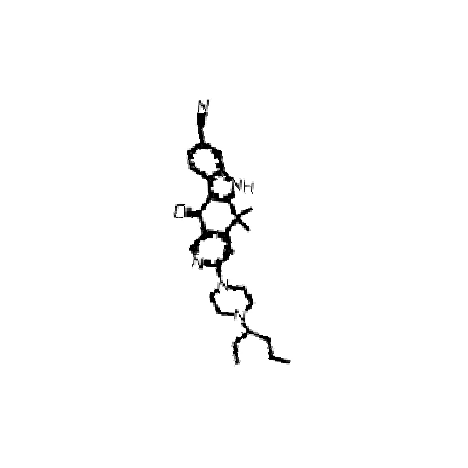 CCCC(CC)N1CCN(c2cc3c(cn2)C(=O)c2c([nH]c4cc(C#N)ccc24)C3(C)C)CC1